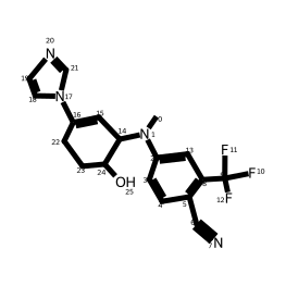 CN(c1ccc(C#N)c(C(F)(F)F)c1)C1C=C(n2ccnc2)CCC1O